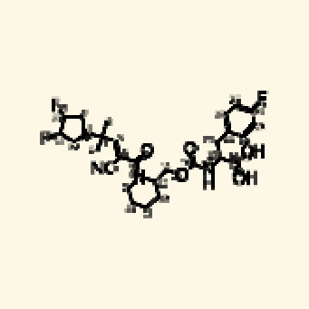 CC(C)(/C=C(\C#N)C(=O)N1CCCC[C@@H]1COC(=O)N[C@@H](Cc1ccc(F)cc1)B(O)O)N1C[C@@H](F)[C@@H](F)C1